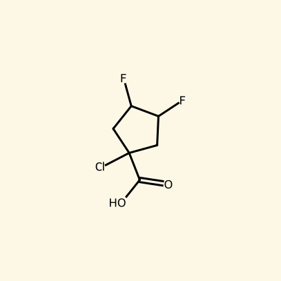 O=C(O)C1(Cl)CC(F)C(F)C1